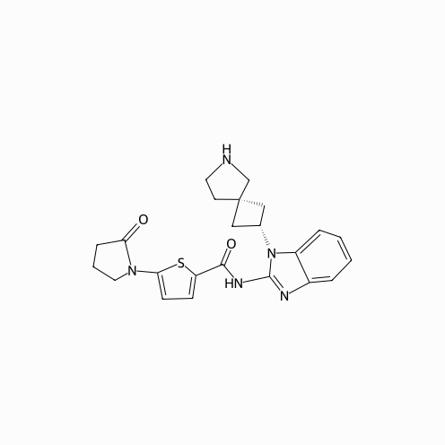 O=C(Nc1nc2ccccc2n1[C@H]1C[C@@]2(CCNC2)C1)c1ccc(N2CCCC2=O)s1